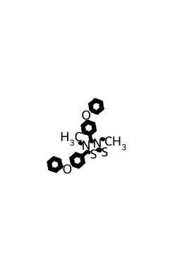 CCN1C(=S)SC(c2ccc(Oc3ccccc3)cc2)N(CC)C1c1ccc(Oc2ccccc2)cc1